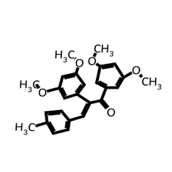 COc1cc(OC)cc(C(=O)C(=Cc2ccc(C)cc2)c2cc(OC)cc(OC)c2)c1